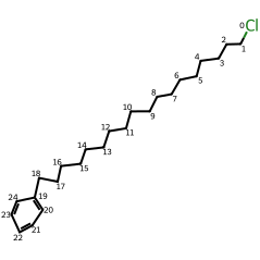 ClCCCCCCCCCCCCCCCCCCc1ccccc1